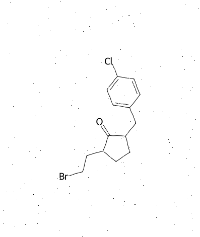 O=C1C(CCBr)CCC1Cc1ccc(Cl)cc1